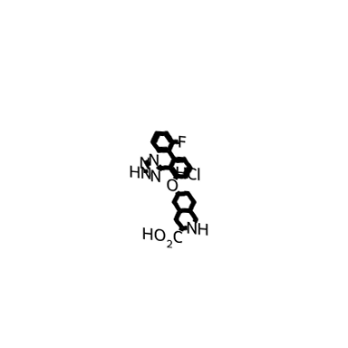 Cl.O=C(O)C1CC2CC(Oc3cccc(-c4ccccc4F)c3-c3nn[nH]n3)CCC2CN1